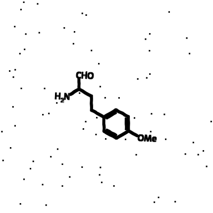 COc1ccc(CCC(N)C=O)cc1